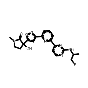 CC(CF)Nc1nccc(-c2cccc(-c3cc(C4(O)CCN(C)C4=O)on3)n2)n1